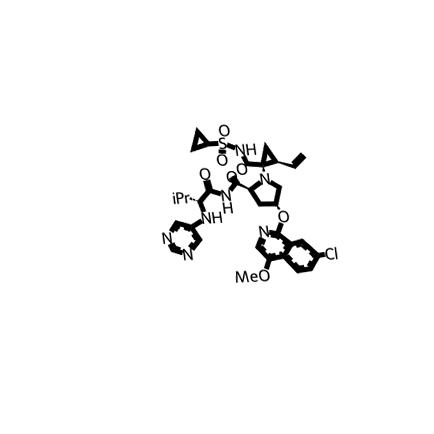 C=C[C@@H]1C[C@@]1(C(=O)NS(=O)(=O)C1CC1)N1C[C@H](Oc2ncc(OC)c3ccc(Cl)cc23)C[C@H]1C(=O)NC(=O)[C@H](Nc1cncnc1)C(C)C